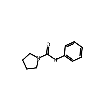 O=C([N]c1ccccc1)N1CCCC1